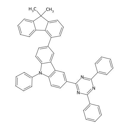 CC1(C)c2ccccc2-c2c(-c3ccc4c(c3)c3cc(-c5nc(-c6ccccc6)nc(-c6ccccc6)n5)ccc3n4-c3ccccc3)cccc21